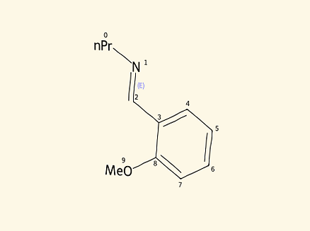 CCC/N=C/c1ccccc1OC